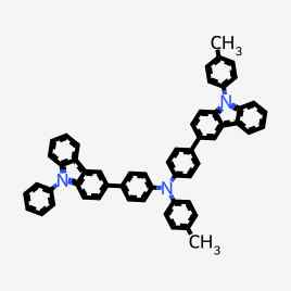 Cc1ccc(N(c2ccc(-c3ccc4c(c3)c3ccccc3n4-c3ccccc3)cc2)c2ccc(-c3ccc4c(c3)c3ccccc3n4-c3ccc(C)cc3)cc2)cc1